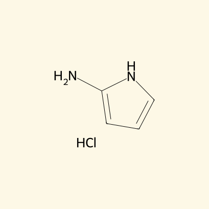 Cl.Nc1ccc[nH]1